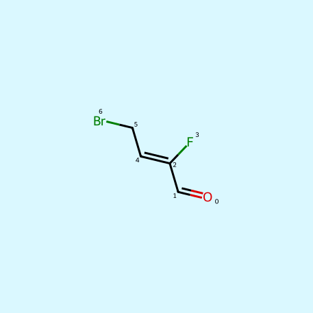 O=C/C(F)=C/CBr